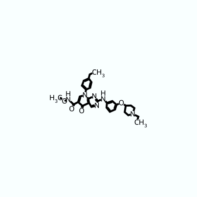 CCc1ccc(-n2cc(C(=O)NOC)c(=O)c3cnc(Nc4cccc(OC5CCN(CC)CC5)c4)nc32)cc1